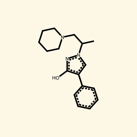 CC(CN1CCCCC1)n1cc(-c2ccccc2)c(O)n1